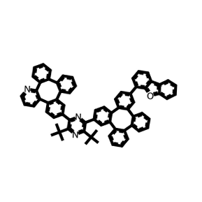 CC(C)(C)c1nc(C(C)(C)C)c(-c2ccc3c(c2)-c2ccccc2-c2ccccc2-c2ncccc2-3)nc1-c1ccc2c(c1)-c1ccccc1-c1ccccc1-c1cc(-c3cccc4c3oc3ccccc34)ccc1-2